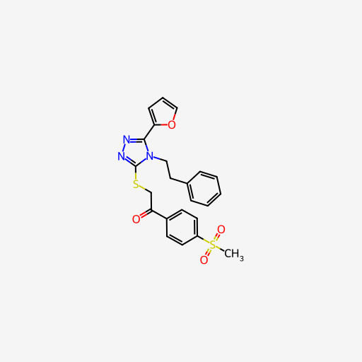 CS(=O)(=O)c1ccc(C(=O)CSc2nnc(-c3ccco3)n2CCc2ccccc2)cc1